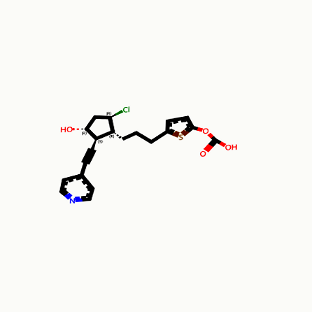 O=C(O)Oc1ccc(CCC[C@@H]2[C@@H](C#Cc3ccncc3)[C@H](O)C[C@H]2Cl)s1